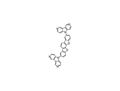 c1cc2c(cn1)c1cnccc1n2-c1ccc2oc3c(ccc4c5cc(-n6c7ccncc7c7cnccc76)ccc5oc43)c2c1